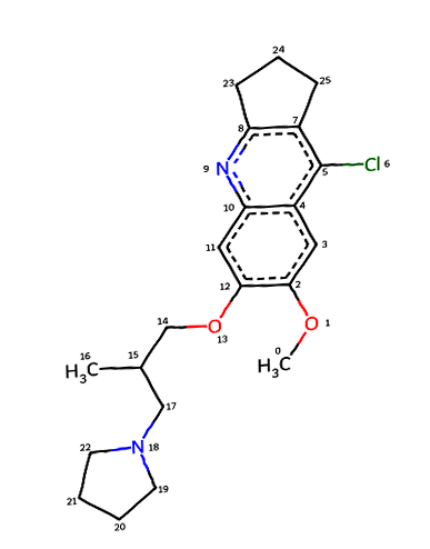 COc1cc2c(Cl)c3c(nc2cc1OCC(C)CN1CCCC1)CCC3